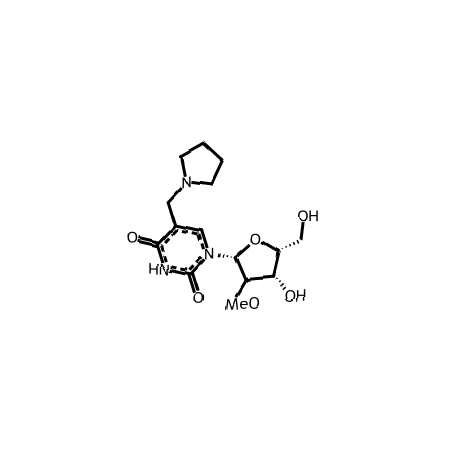 COC1[C@@H](O)[C@@H](CO)O[C@H]1n1cc(CN2CCCC2)c(=O)[nH]c1=O